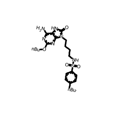 C[CH]C[CH]c1ccc(S(=O)(=O)NCCCCn2c(=O)[nH]c3c(N)nc(OCCCC)nc32)cc1